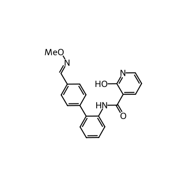 CO/N=C/c1ccc(-c2ccccc2NC(=O)c2cccnc2O)cc1